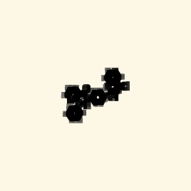 O=C(N[C@H]1CC[C@@H](Nc2cc(Cl)c3ccccc3n2)CC1)c1cccnc1Oc1ccccc1